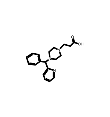 O=C(O)CCN1CCN(C(c2ccccc2)c2ccccn2)CC1